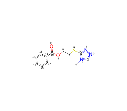 Cn1cnnc1SCCOC(=O)c1ccccc1